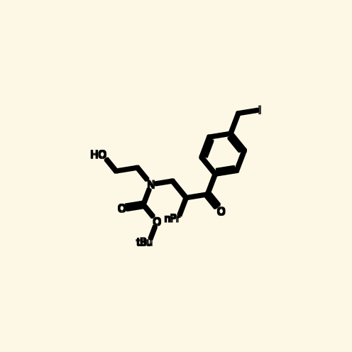 CCCC(CN(CCO)C(=O)OC(C)(C)C)C(=O)c1ccc(CI)cc1